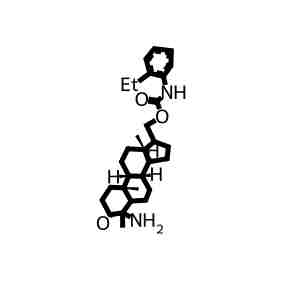 CCc1ccccc1NC(=O)OCC1CC[C@H]2[C@@H]3CCC4C(C)(N)C(=O)CC[C@]4(C)[C@@H]3CC[C@]12C